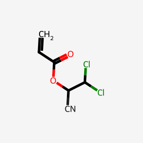 C=CC(=O)OC(C#N)C(Cl)Cl